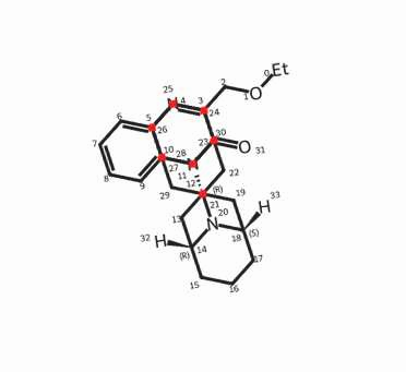 CCOCc1nc2ccccc2n([C@H]2C[C@H]3CCC[C@@H](C2)N3C2CC3CCCC(C3)C2)c1=O